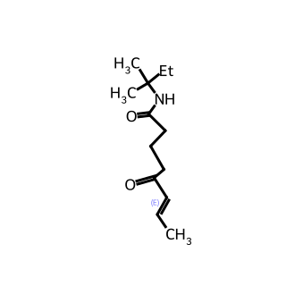 C/C=C/C(=O)CCCC(=O)NC(C)(C)CC